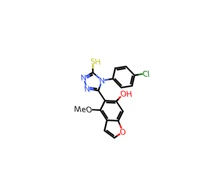 COc1c(-c2nnc(S)n2-c2ccc(Cl)cc2)c(O)cc2occc12